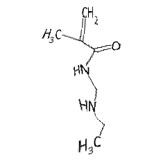 C=C(C)C(=O)NCNCC